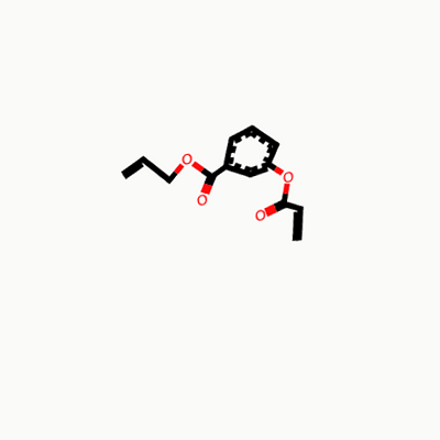 C=CCOC(=O)c1cccc(OC(=O)C=C)c1